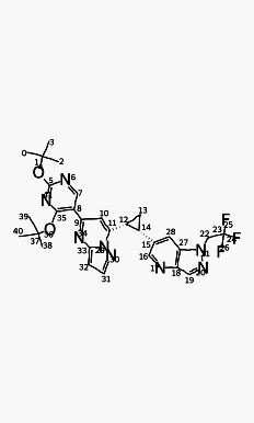 CC(C)(C)Oc1ncc(-c2cc([C@@H]3C[C@@H]3c3cnc4cnn(CC(F)(F)F)c4c3)n3nccc3n2)c(OC(C)(C)C)n1